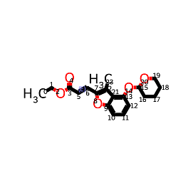 CCOC(=O)/C=C/c1oc2cccc(OC3CCCCO3)c2c1C